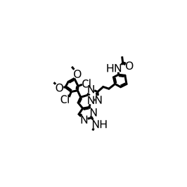 CNc1ncc2cc(-c3c(Cl)c(OC)cc(OC)c3Cl)c3nc(CCc4cccc(NC(C)=O)c4)nn3c2n1